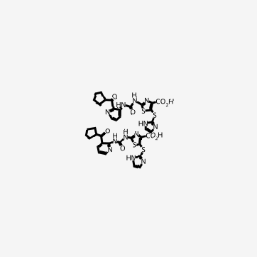 O=C(Nc1nc(C(=O)O)c(Sc2ncc[nH]2)s1)Nc1cccnc1C(=O)C1CCCC1.O=C(Nc1nc(C(=O)O)c(Sc2ncc[nH]2)s1)Nc1ncccc1C(=O)C1CCCC1